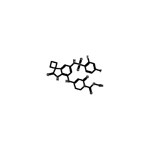 CC(C)(C)OC(=O)N1CCC(Nc2cc(NS(=O)(=O)c3ccc(F)cc3F)cc3c2NC(=O)C32CCC2)=CC1=O